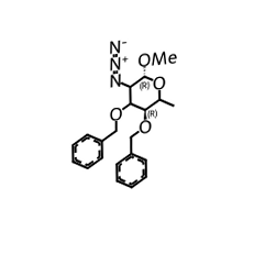 CO[C@@H]1OC(C)[C@@H](OCc2ccccc2)C(OCc2ccccc2)C1N=[N+]=[N-]